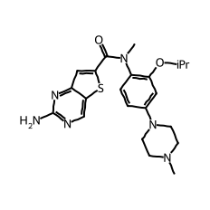 CC(C)Oc1cc(N2CCN(C)CC2)ccc1N(C)C(=O)c1cc2nc(N)ncc2s1